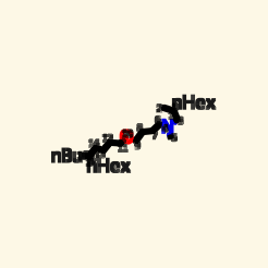 CCCCCCC(C)CN(C)CCCCOCCCCC(CCCC)CCCCCC